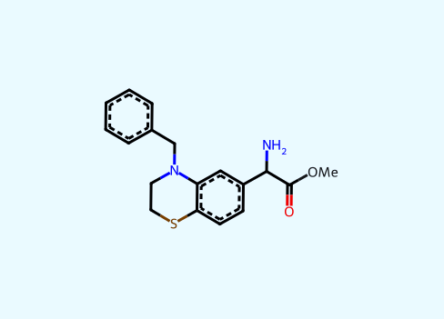 COC(=O)C(N)c1ccc2c(c1)N(Cc1ccccc1)CCS2